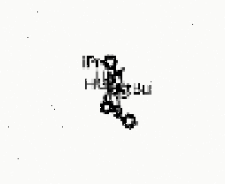 CC(C)c1cccc(C2(NC[C@H](O)[C@H](Cc3cccc(OCc4ccccc4)c3)NC(=O)OC(C)(C)C)CC2)c1